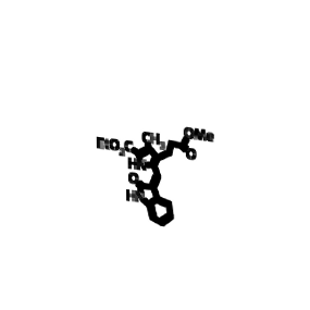 CCOC(=O)c1[nH]c(C=C2C(=O)Nc3ccccc32)c(CCC(=O)OC)c1C